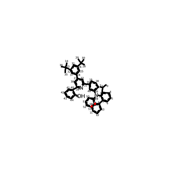 CC(C)c1cccc(-c2ccccc2)c1N(c1cccc(-c2cc(-c3cc(C(C)(C)C)cc(C(C)(C)C)c3)cc(-c3ccccc3O)n2)c1)c1ccccn1